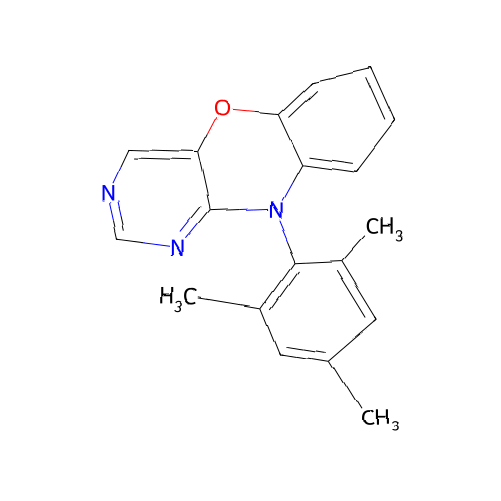 Cc1cc(C)c(N2c3ccccc3Oc3cncnc32)c(C)c1